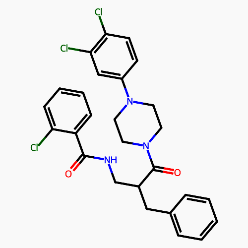 O=C(NCC(Cc1ccccc1)C(=O)N1CCN(c2ccc(Cl)c(Cl)c2)CC1)c1ccccc1Cl